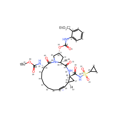 CCOC(=O)c1ccccc1NC(=O)O[C@@H]1C[C@H]2C(=O)N[C@]3(C(=O)NS(=O)(=O)C4CC4)C[C@H]3/C=C\CCCCC[C@H](NC(=O)OC(C)(C)C)C(=O)N2C1